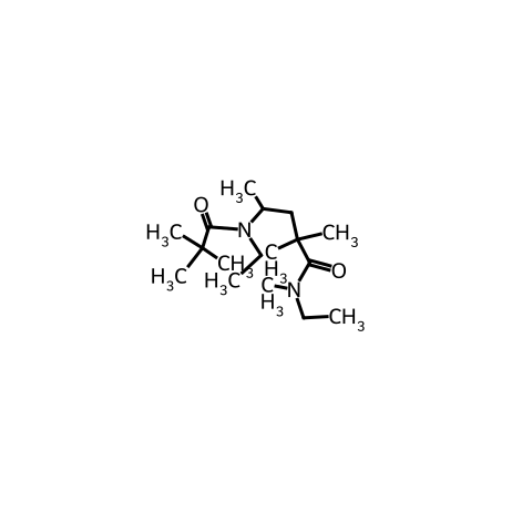 CCN(C)C(=O)C(C)(C)CC(C)N(CC)C(=O)C(C)(C)C